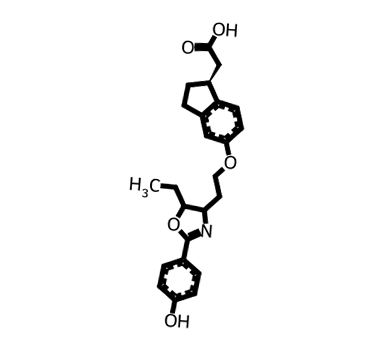 CCC1OC(c2ccc(O)cc2)=NC1CCOc1ccc2c(c1)CC[C@H]2CC(=O)O